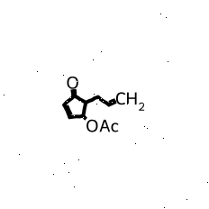 C=CCC1C(=O)C=CC1OC(C)=O